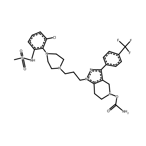 CS(=O)(=O)Nc1cccc(Cl)c1N1CCN(CCCn2nc(-c3ccc(C(F)(F)F)cc3)c3c2CCN(OC(N)=O)C3)CC1